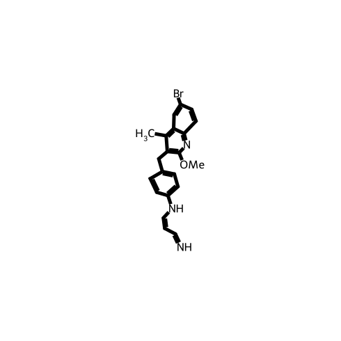 COc1nc2ccc(Br)cc2c(C)c1Cc1ccc(N/C=C\C=N)cc1